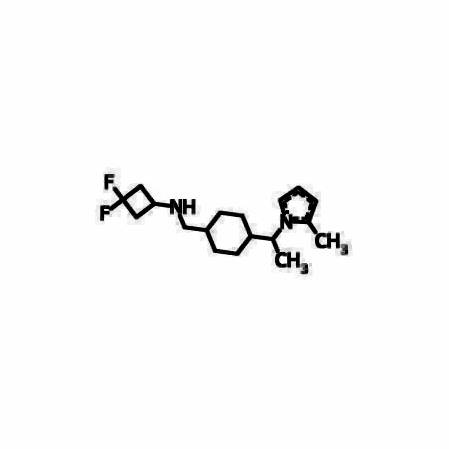 Cc1cccn1C(C)C1CCC(CNC2CC(F)(F)C2)CC1